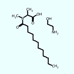 CCCCCCCCCCCC(=O)N(C)C(C)C(=O)O.NCCO